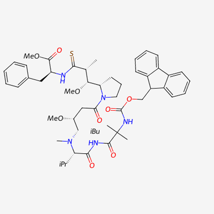 CC[C@H](C)[C@@H]([C@@H](CC(=O)N1CCC[C@H]1[C@H](OC)[C@@H](C)C(=S)N[C@@H](Cc1ccccc1)C(=O)OC)OC)N(C)[C@H](C(=O)NC(=O)C(C)(C)NC(=O)OCC1c2ccccc2-c2ccccc21)C(C)C